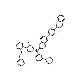 Cc1cc(N(c2cccc(-c3ccccc3)c2)c2ccc3cc(-c4ccc(-c5ccc6ccccc6c5)cc4)ccc3c2)ccc1-c1ccccc1CCc1ccccc1